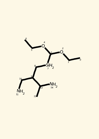 CCOC(OCC)[SiH2]CC(CN)C(C)N